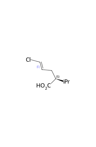 CC(C)[C@H](C/C=C/Cl)C(=O)O